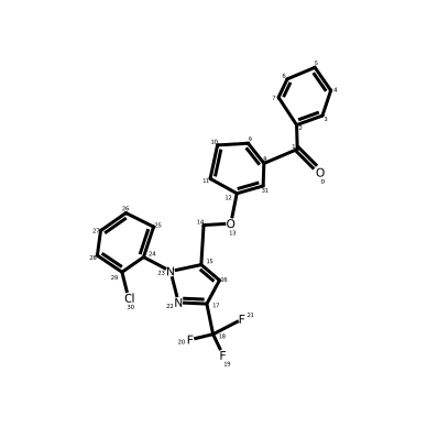 O=C(c1ccccc1)c1cccc(OCc2cc(C(F)(F)F)nn2-c2ccccc2Cl)c1